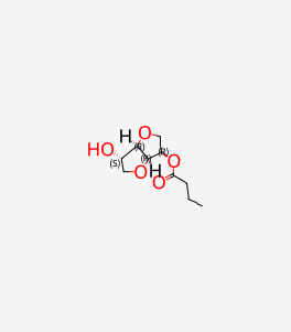 CCCC(=O)O[C@@H]1CO[C@H]2[C@@H]1OC[C@@H]2O